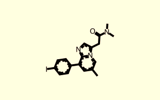 Cc1cc(-c2ccc(I)cc2)c2ncc(CC(=O)N(C)C)n2c1